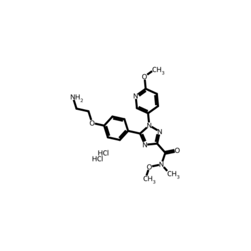 COc1ccc(-n2nc(C(=O)N(C)OC)nc2-c2ccc(OCCN)cc2)cn1.Cl.Cl